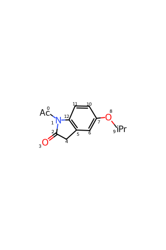 CC(=O)N1C(=O)Cc2cc(OC(C)C)ccc21